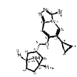 Brc1nnc2cc(OC[C@H]3C[C@H]4CC[C@@H](C3)N4)c(C3CC3)cn12